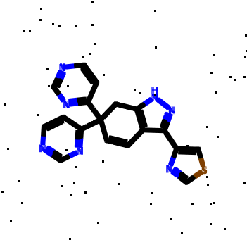 C1=CC(c2ccncn2)(c2ccncn2)Cc2[nH]nc(-c3cscn3)c21